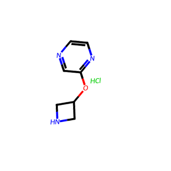 Cl.c1cnc(OC2CNC2)cn1